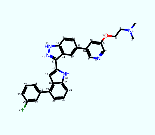 CN(C)CCOc1cncc(-c2ccc3[nH]nc(-c4cc5c(-c6cccc(F)c6)cccc5[nH]4)c3c2)c1